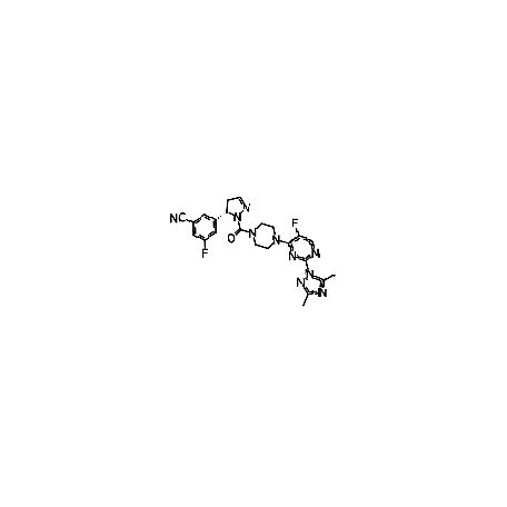 Cc1nc(C)n(-c2ncc(F)c(N3CCN(C(=O)N4N=CC[C@H]4c4cc(F)cc(C#N)c4)CC3)n2)n1